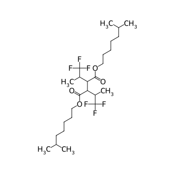 CC(C)CCCCCOC(=O)C(C(C(=O)OCCCCCC(C)C)C(C)C(F)(F)F)C(C)C(F)(F)F